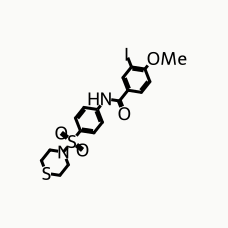 COc1ccc(C(=O)Nc2ccc(S(=O)(=O)N3CCSCC3)cc2)cc1I